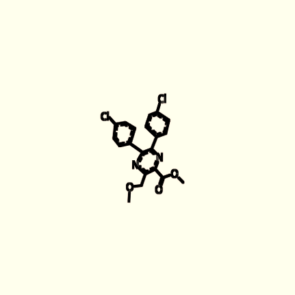 COCc1nc(-c2ccc(Cl)cc2)c(-c2ccc(Cl)cc2)nc1C(=O)OC